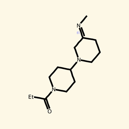 CCC(=O)N1CCC(N2CCC/C(=N\C)C2)CC1